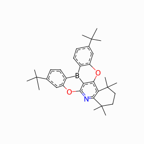 CC(C)(C)c1ccc2c(c1)Oc1nc3c(c4c1B2c1ccc(C(C)(C)C)cc1O4)C(C)(C)CCC3(C)C